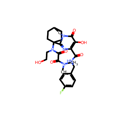 CN(C)C(=O)C(=O)N(CCO)C12CCC(CC1)Cn1c2nc(C(=O)NCc2ccc(F)cc2)c(O)c1=O